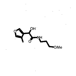 COCCCNC(=O)C(O)c1cocc1C